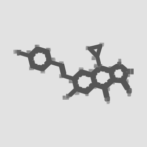 O=c1[nH]sc2c1c(=O)c1cc(F)c(C=Cc3ccc(F)cc3)cc1n2C1CC1